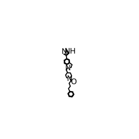 O=C(CCCc1ccccc1)N1CCC(CN2CCc3cc(-c4cn[nH]c4)ccc32)CC1